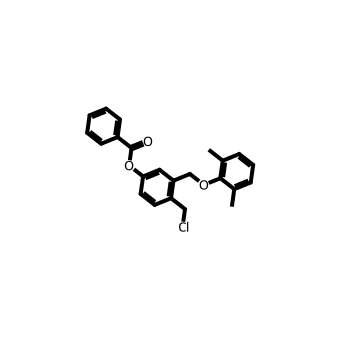 Cc1cccc(C)c1OCc1cc(OC(=O)c2ccccc2)ccc1CCl